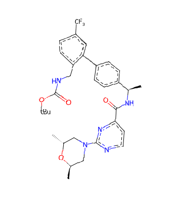 C[C@@H]1CN(c2nccc(C(=O)N[C@H](C)c3ccc(-c4cc(C(F)(F)F)ccc4CNC(=O)OC(C)(C)C)cc3)n2)C[C@@H](C)O1